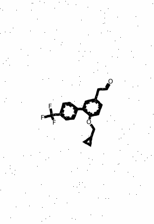 O=CCc1ccc(OCC2CC2)c(-c2ccc(C(F)(F)F)cc2)c1